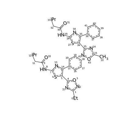 CCc1noc(-c2sc(NC(=O)CC(C)C)nc2-c2ccccc2)n1.Cc1nc(-c2sc(NC(=O)CC(C)C)nc2-c2ccccc2)no1